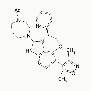 CC(=O)N1CCCN(C2Nc3ccc(-c4c(C)noc4C)c4c3N2[C@@H](c2ccccn2)CO4)CC1